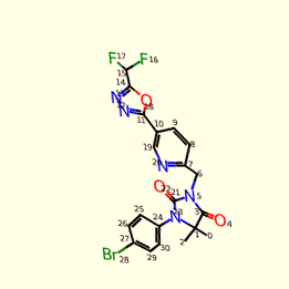 CC1(C)C(=O)N(Cc2ccc(-c3nnc(C(F)F)o3)cn2)C(=O)N1c1ccc(Br)cc1